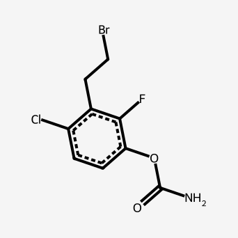 NC(=O)Oc1ccc(Cl)c(CCBr)c1F